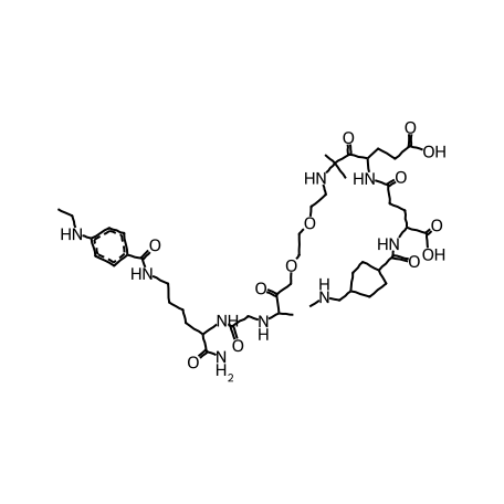 CCNc1ccc(C(=O)NCCCCC(NC(=O)CNC(C)C(=O)COCCOCCNC(C)(C)C(=O)C(CCC(=O)O)NC(=O)CCC(NC(=O)C2CCC(CNC)CC2)C(=O)O)C(N)=O)cc1